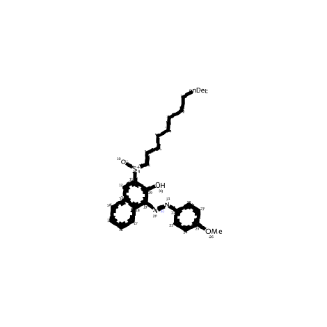 CCCCCCCCCCCCCCCCCC[S+]([O-])c1cc2ccccc2c(/N=N/c2ccc(OC)cc2)c1O